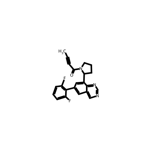 CC#CC(=O)N1CCCC1c1cc(-c2c(F)cccc2F)cc2cncnc12